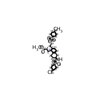 COC(=O)/C=C/c1c(CCOS(=O)(=O)c2ccc(C)cc2)ccc2c1CCC(NS(=O)(=O)c1ccc(Cl)cc1)C2